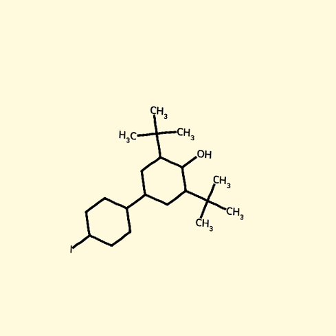 CC(C)(C)C1CC(C2CCC(I)CC2)CC(C(C)(C)C)C1O